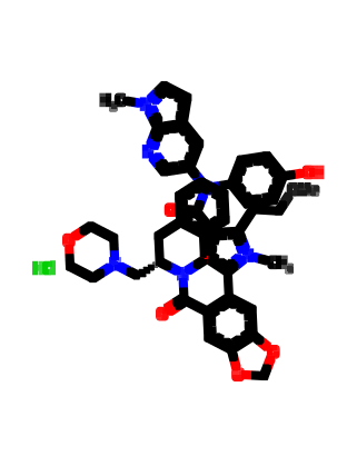 COCCc1c(C(=O)N(c2ccc(O)cc2)c2cnc3c(ccn3C)c2)cc(-c2cc3c(cc2C(=O)N2Cc4ccccc4C[C@H]2CN2CCOCC2)OCO3)n1C.Cl